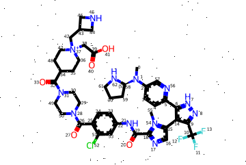 CN(c1ccc(-c2[nH]nc(C(F)(F)F)c2-c2cnc(C(=O)Nc3ccc(C(=O)N4CCN(C(=O)C5CC[N+](CC(=O)O)(CC6CNC6)CC5)CC4)c(Cl)c3)n2C)nc1)[C@H]1CCCN1